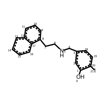 Oc1cc(CNCCc2cccc3ccccc23)ccc1I